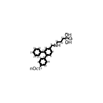 CCCCCCCCc1ccc(-c2ccc(CNCCCP(=O)(O)O)cc2-c2ccccc2)cc1